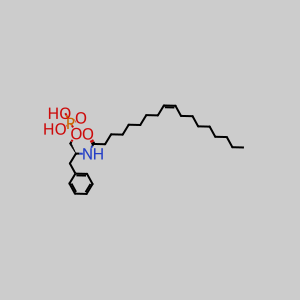 CCCCCCCC/C=C\CCCCCCCC(=O)N[C@H](COP(=O)(O)O)Cc1ccccc1